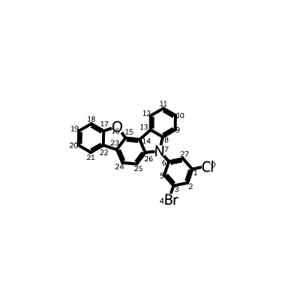 Clc1cc(Br)cc(-n2c3ccccc3c3c4oc5ccccc5c4ccc32)c1